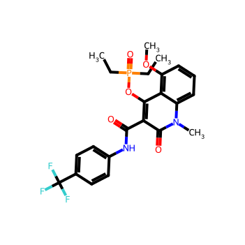 CCP(=O)(CC)Oc1c(C(=O)Nc2ccc(C(F)(F)F)cc2)c(=O)n(C)c2cccc(OC)c12